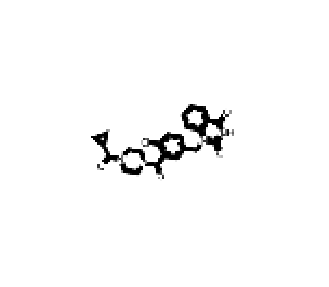 O=C(c1cc(Cn2c(=O)[nH]c(=O)c3ccccc32)ccc1Cl)N1CCN(C(=O)C2CC2)CC1